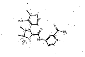 COc1c([C@@H]2[C@@H](C(=O)Nc3ccnc(C(N)=O)c3)O[C@](C)(C(F)(F)F)[C@H]2C)ccnc1C